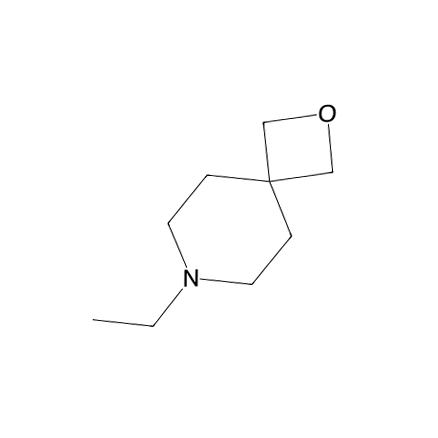 CCN1CCC2(CC1)COC2